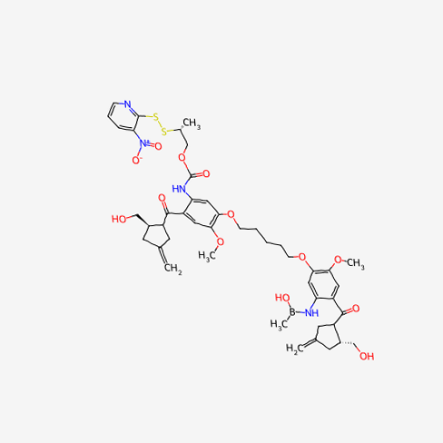 C=C1CC(C(=O)c2cc(OC)c(OCCCCCOc3cc(NC(=O)OC[C@@H](C)SSc4ncccc4[N+](=O)[O-])c(C(=O)C4CC(=C)C[C@H]4CO)cc3OC)cc2NB(C)O)[C@H](CO)C1